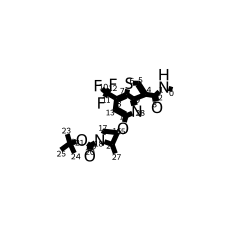 CNC(=O)c1csc2c(C(F)(F)F)cc(OC3CN(C(=O)OC(C)(C)C)C3C)nc12